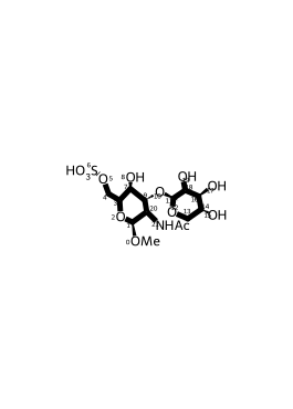 CO[C@H]1OC(COS(=O)(=O)O)[C@@H](O)[C@H](O[C@@H]2OC[C@@H](O)[C@H](O)C2O)C1NC(C)=O